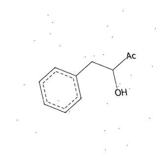 CC(=O)C(O)Cc1ccccc1